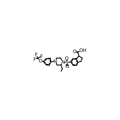 CCC1CN(c2ccc(OC(F)(F)F)cc2)CCN1S(=O)(=O)c1ccc2c(c1)C(C(=O)O)CC2